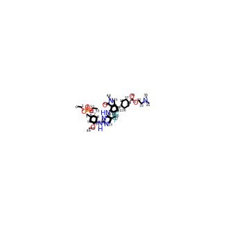 CCOP(=O)(Cc1ccc(Nc2ncc(C(F)(F)F)c(Nc3ccc([C@H]4CC[C@@H](C(=O)OCCN(C)C)CC4)c4c3C(=O)N(C)C4)n2)c(OC)c1)OCC